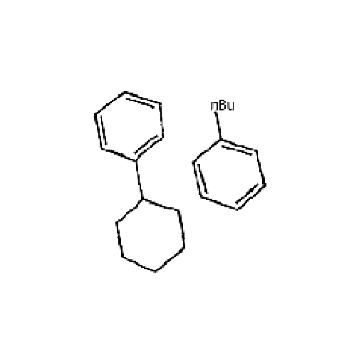 CCCCc1ccccc1.c1ccc(C2CCCCC2)cc1